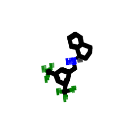 FC(F)(F)c1cc(CN[C@H]2CCCc3ccccc32)cc(C(F)(F)F)c1